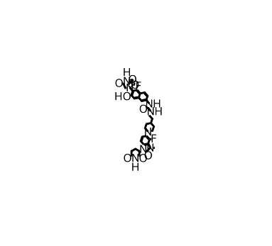 Cn1c(=O)n(C2CCC(=O)NC2=O)c2ccc(N3CCC(CCNC(=O)Nc4ccc5c(F)c(N6CC(=O)NS6(=O)=O)c(O)cc5c4)CC3)c(F)c21